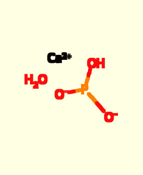 O.[Ca+2].[O-]P([O-])O